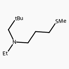 CCN(CCCSC)CC(C)(C)C